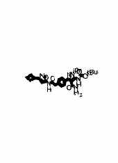 CC(C)n1nc(-c2ccc(CC(=O)Nc3cc(C4CCC4)no3)cc2)c(C(N)=O)c1NC(=O)OC(C)(C)C